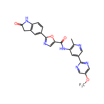 Cc1ncc(-c2ncc(OC(F)(F)F)cn2)cc1NC(=O)c1cnc(-c2ccc3c(c2)CC(=O)N3)o1